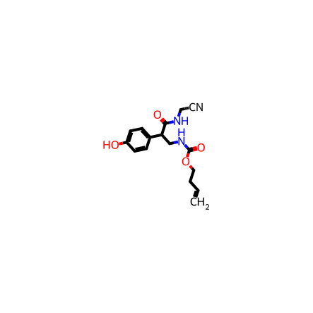 C=CCCOC(=O)NCC(C(=O)NCC#N)c1ccc(O)cc1